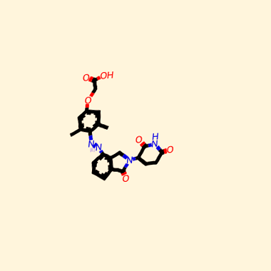 Cc1cc(OCC(=O)O)cc(C)c1/N=N/c1cccc2c1CN(C1CCC(=O)NC1=O)C2=O